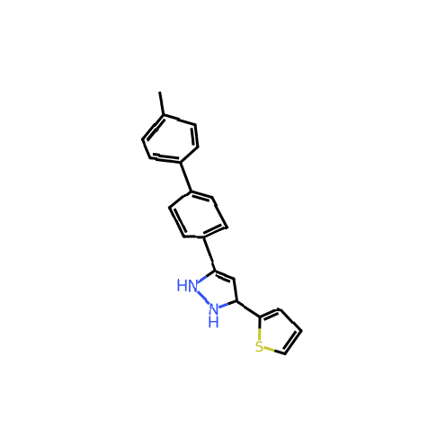 Cc1ccc(-c2ccc(C3=CC(c4cccs4)NN3)cc2)cc1